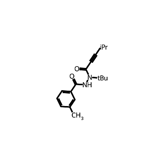 Cc1cccc(C(=O)NN(C(=O)C#CC(C)C)C(C)(C)C)c1